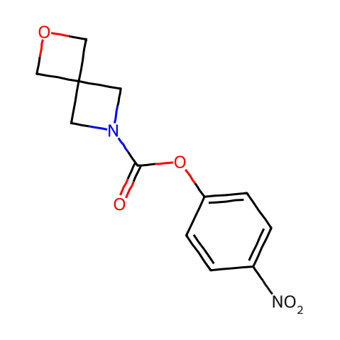 O=C(Oc1ccc([N+](=O)[O-])cc1)N1CC2(COC2)C1